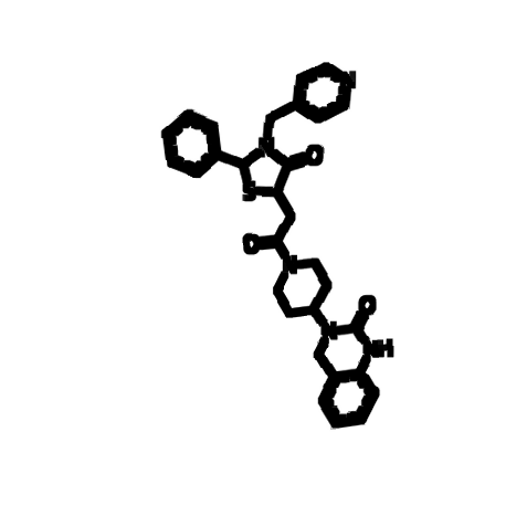 O=C(CC1SC(c2ccccc2)N(Cc2ccncc2)C1=O)N1CCC(N2Cc3ccccc3NC2=O)CC1